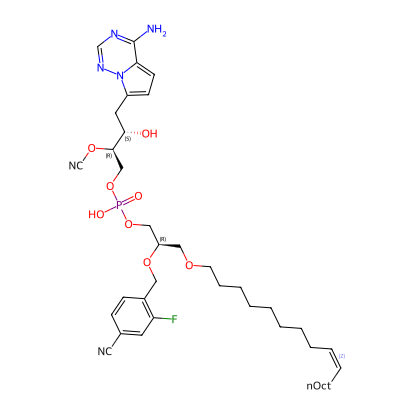 CCCCCCCC/C=C\CCCCCCCCOC[C@H](COP(=O)(O)OC[C@@H](OC#N)[C@@H](O)Cc1ccc2c(N)ncnn12)OCc1ccc(C#N)cc1F